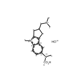 CN(C)CC1Cc2c(n(C)c3ccc(N(C)C(=O)O)cc23)C1.Cl